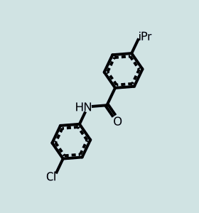 CC(C)c1ccc(C(=O)Nc2ccc(Cl)cc2)cc1